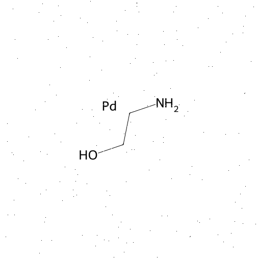 NCCO.[Pd]